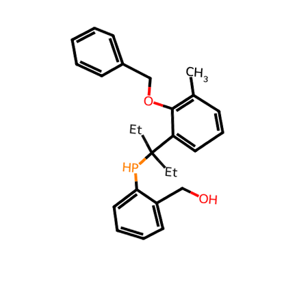 CCC(CC)(Pc1ccccc1CO)c1cccc(C)c1OCc1ccccc1